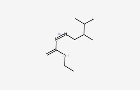 C=C(/N=N\CC(C)C(C)C)NCC